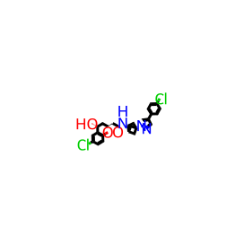 O=C(C[C@H]1C[C@@H](O)c2cc(Cl)ccc2O1)NC1CC2(n3cc(-c4ccc(Cl)cc4)cn3)CC1C2